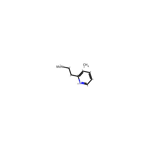 C.CNCCc1ccccn1